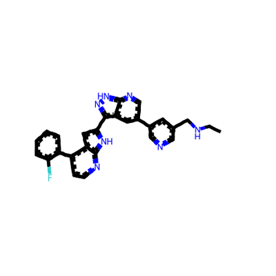 CCNCc1cncc(-c2cnc3[nH]nc(-c4cc5c(-c6ccccc6F)ccnc5[nH]4)c3c2)c1